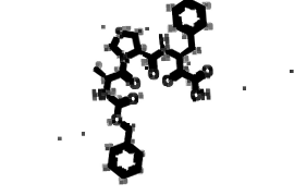 C[C@H](NC(=O)OCc1ccccc1)C(=O)N1CSC[C@H]1C(=O)N[C@@H](Cc1ccccc1)C(=O)C(=O)O